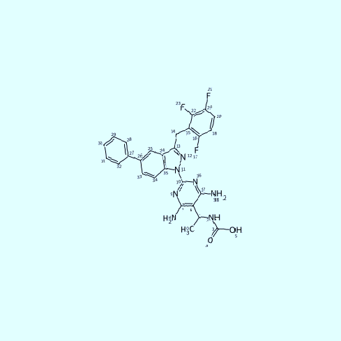 CC(NC(=O)O)c1c(N)nc(-n2nc(Cc3c(F)ccc(F)c3F)c3cc(-c4ccccc4)ccc32)nc1N